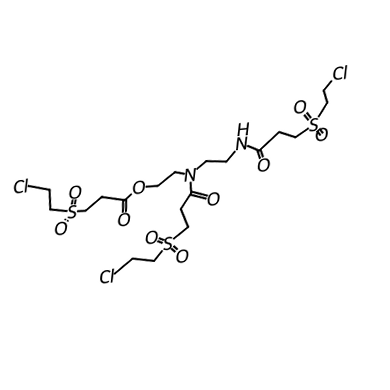 O=C(CCS(=O)(=O)CCCl)NCCN(CCOC(=O)CCS(=O)(=O)CCCl)C(=O)CCS(=O)(=O)CCCl